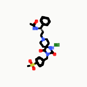 CC(=O)N[C@@H](CCN1CCC2(CC1)NC(=O)N(Cc1ccc(S(C)(=O)=O)cc1)C2=O)c1ccccc1.Cl